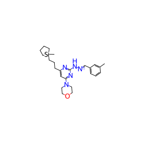 Cc1cccc(/C=N/Nc2nc(CCC[Si]3(C)CCCC3)cc(N3CCOCC3)n2)c1